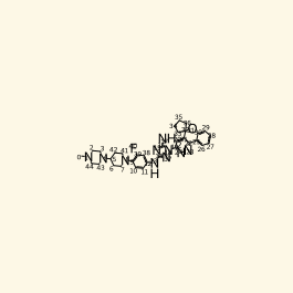 CN1CCN(C2CCN(c3ccc(Nc4nc(N)n(-c5cc6c(nn5)-c5ccccc5OC65CCCC5)n4)cc3F)CC2)CC1